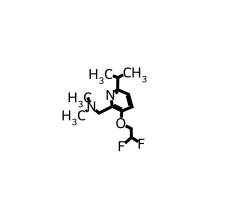 CC(C)c1ccc(OCC(F)F)c(CN(C)C)n1